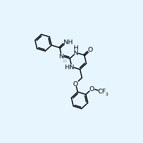 N=C(/N=c1/[nH]c(COc2ccccc2OC(F)(F)F)cc(=O)[nH]1)c1ccccc1